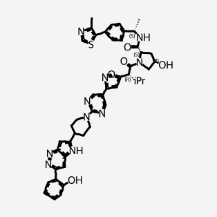 Cc1ncsc1-c1ccc([C@H](C)NC(=O)[C@@H]2C[C@@H](O)CN2C(=O)[C@@H](c2cc(-c3cnc(N4CCC(c5cc6nnc(-c7ccccc7O)cc6[nH]5)CC4)nc3)no2)C(C)C)cc1